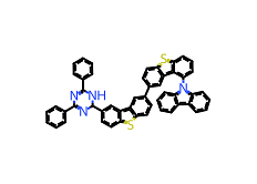 c1ccc(C2=NC(c3ccc4sc5ccc(-c6ccc7sc8cccc(-n9c%10ccccc%10c%10ccccc%109)c8c7c6)cc5c4c3)NC(c3ccccc3)=N2)cc1